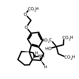 O=C(O)CC(O)(CC(=O)O)C(=O)O.O=C(O)OCOc1ccc2c(c1)[C@@]13CCCC[C@H]1[C@@H](C2)NCC3